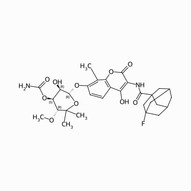 CO[C@@H]1[C@@H](OC(N)=O)[C@@H](O)[C@H](Oc2ccc3c(O)c(NC(=O)C45CC6CC(CC(F)(C6)C4)C5)c(=O)oc3c2C)OC1(C)C